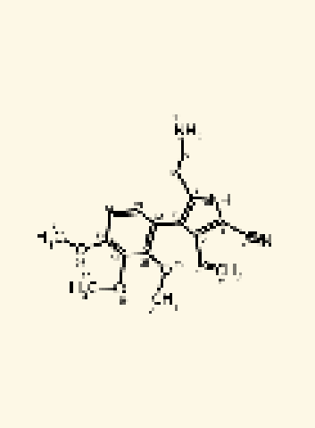 C=Cc1c(C#N)[nH]c(CCN)c1-c1ccc(OC)c(OC)c1OC